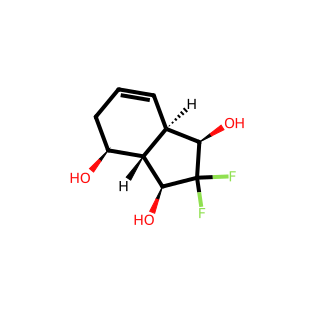 O[C@@H]1[C@@H]2C=CC[C@H](O)[C@H]2[C@H](O)C1(F)F